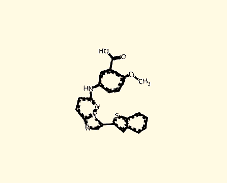 COc1ccc(Nc2ccc3ncc(-c4cc5ccccc5s4)n3n2)cc1C(=O)O